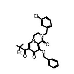 CCC(C)(C)C(=O)c1cn2c(c(OCc3ccccc3)c1=O)C(=O)N(Cc1cccc(Cl)c1)CC2